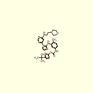 Cc1ccc(NC(=O)Oc2ccc(C(C)(C)C)s2)cc1Nc1nccn1-c1cc(NCCN2CCOCC2)ncn1